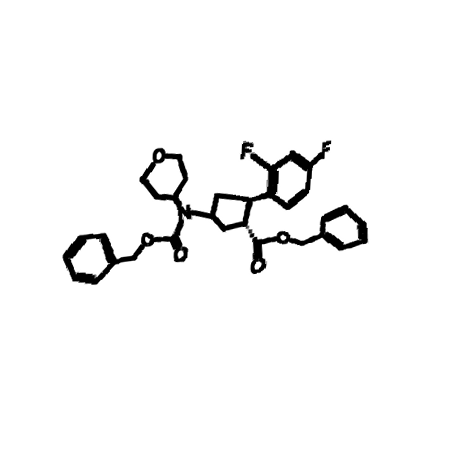 O=C(OCc1ccccc1)[C@@H]1CC(N(C(=O)OCc2ccccc2)C2CCOCC2)C[C@H]1c1ccc(F)cc1F